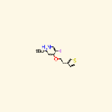 CC(C)(C)C/C=C(OCCc1ccsc1)\C(I)=C/N